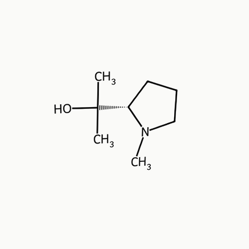 CN1CCC[C@H]1C(C)(C)O